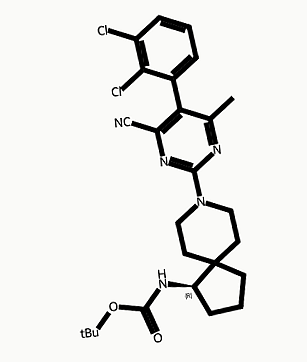 Cc1nc(N2CCC3(CCC[C@H]3NC(=O)OC(C)(C)C)CC2)nc(C#N)c1-c1cccc(Cl)c1Cl